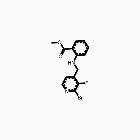 COC(=O)c1ccccc1NCc1ccnc(Br)c1F